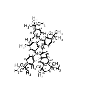 Cc1cc2c3c(c1)N(c1ccc(C(C)(C)C)cc1)c1c(sc4cc5c(cc14)C(C)(C)CCC5(C)C)B3c1ccc(C(C)(C)C)cc1N2c1ccc(C(C)(C)C)cc1C